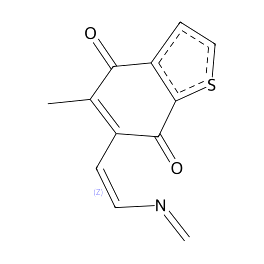 C=N/C=C\C1=C(C)C(=O)c2ccsc2C1=O